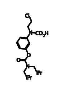 CC(C)CN(CC(C)C)C(=O)Oc1cccc(N(CCCl)C(=O)O)c1